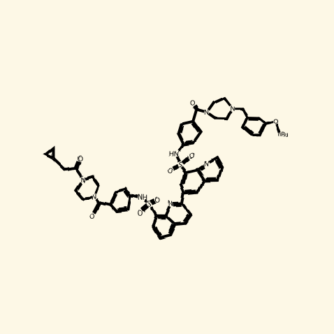 CCCCOc1cccc(CN2CCN(C(=O)c3ccc(NS(=O)(=O)c4cc(-c5ccc6cccc(S(=O)(=O)Nc7ccc(C(=O)N8CCN(C(=O)CC9CC9)CC8)cc7)c6n5)cc5cccnc45)cc3)CC2)c1